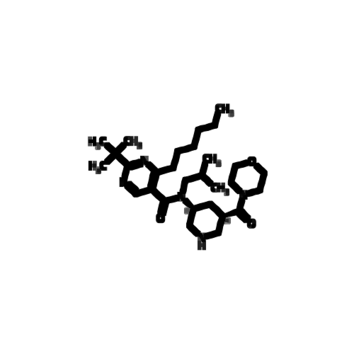 CCCCCCc1nc(C(C)(C)C)ncc1C(=O)N(CC(C)C)[C@@H]1CNC[C@H](C(=O)N2CCOCC2)C1